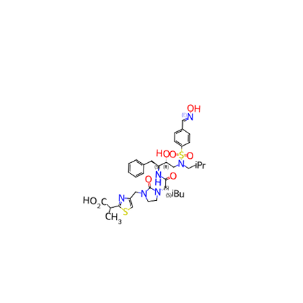 CC[C@H](C)[C@@H](C(=O)N[C@@H](Cc1ccccc1)[C@H](O)CN(CC(C)C)S(=O)(=O)c1ccc(/C=N/O)cc1)N1CCN(Cc2csc(C(C)C(=O)O)n2)C1=O